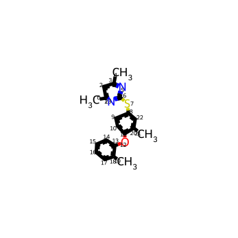 Cc1cc(C)nc(Sc2ccc(Oc3ccccc3C)c(C)c2)n1